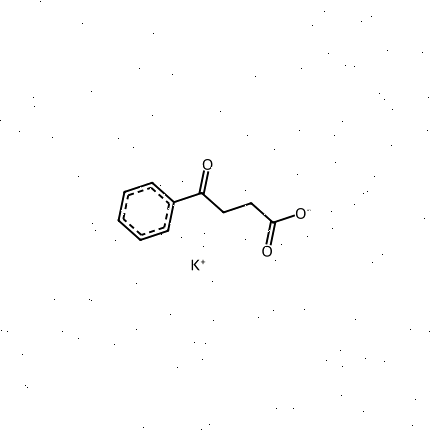 O=C([O-])CCC(=O)c1ccccc1.[K+]